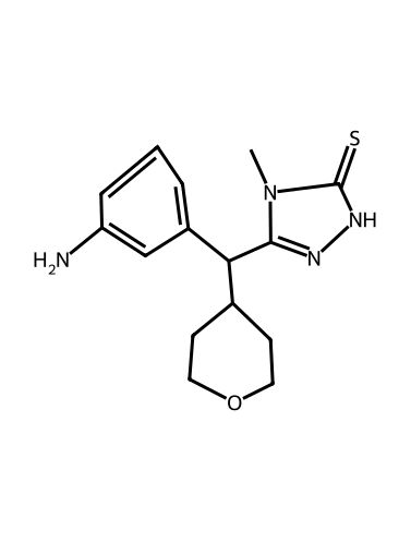 Cn1c(C(c2cccc(N)c2)C2CCOCC2)n[nH]c1=S